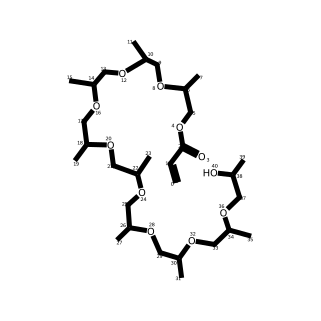 C=CC(=O)OCC(C)OCC(C)OCC(C)OCC(C)OCC(C)OCC(C)OCC(C)OCC(C)OCC(C)O